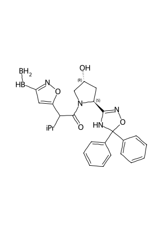 BBc1cc(C(C(=O)N2C[C@H](O)C[C@H]2C2=NOC(c3ccccc3)(c3ccccc3)N2)C(C)C)on1